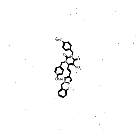 COc1ccc(Cn2c(C=Cc3cnn(Cc4ccccc4C(F)(F)F)c3)c([N+](=O)[O-])c(=O)n(Cc3ccc(OC)cc3)c2=O)cc1